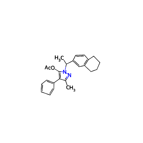 CC(=O)Oc1c(-c2ccccc2)c(C)nn1C(C)c1ccc2c(c1)CCCC2